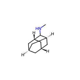 CNC1[C@H]2C[C@@H]3C[C@@H](C[C@H]1C3)C2